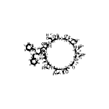 CC(C)C[C@@H]1C(=O)N[C@H](CC(C)C)C(=O)N(C)C(C(C)C)C(=O)N(C)C([C@H](O)[C@H](C)CCN(Cc2ccccn2)Cc2ccccn2)C(=O)NC([C@@H](C)O)C(=O)N(C)CC(=O)N(C)[C@@H](CC(C)C)C(=O)N[C@H](CC(C)C)N(C)[C@H](CC(C)C)N[C@H](C)C(=O)OC(=O)N1C